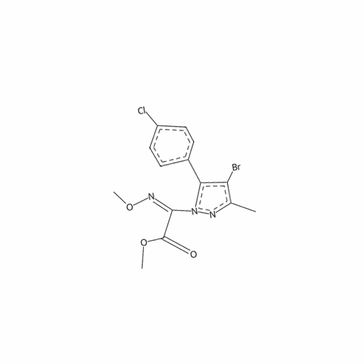 CON=C(C(=O)OC)n1nc(C)c(Br)c1-c1ccc(Cl)cc1